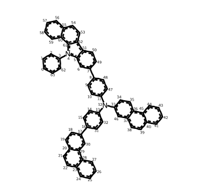 c1ccc(-n2c3cc(-c4ccc(N(c5ccc(-c6ccc7ccc8ccccc8c7c6)cc5)c5ccc6c(ccc7ccccc76)c5)cc4)ccc3c3ccc4ccccc4c32)cc1